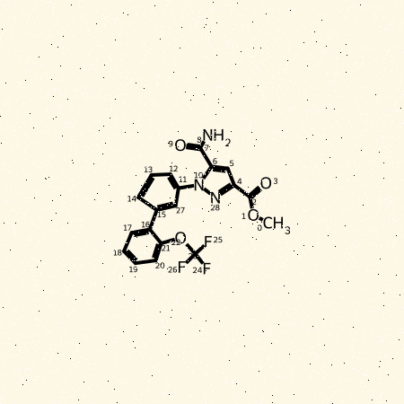 COC(=O)c1cc(C(N)=O)n(-c2cccc(-c3ccccc3OC(F)(F)F)c2)n1